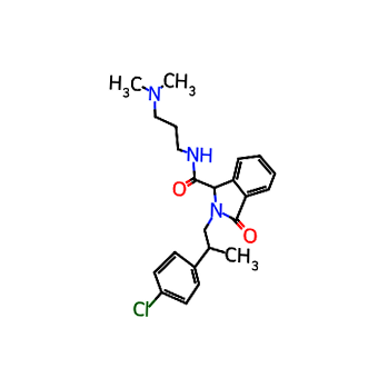 CC(CN1C(=O)c2ccccc2C1C(=O)NCCCN(C)C)c1ccc(Cl)cc1